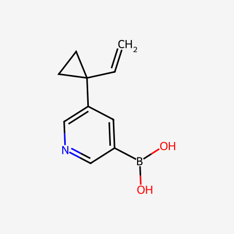 C=CC1(c2cncc(B(O)O)c2)CC1